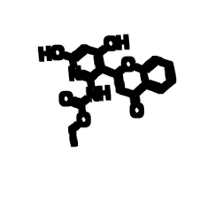 CCOC(=O)Nc1nc(O)cc(O)c1-c1cc(=O)c2ccccc2o1